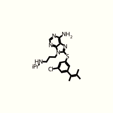 CC(C)=C(C)c1cc(Cl)cc(Sc2nc3c(N)ncnc3n2CCCNC(C)C)c1